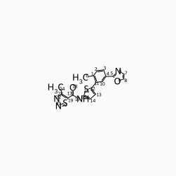 Cc1ccc(-c2ncco2)cc1-c1ccc(NC(=O)c2snnc2C)s1